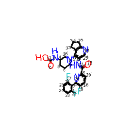 O=C(O)NC1CCCN(c2c(NC(=O)c3ccc(F)c(-c4c(F)cccc4F)n3)cnc3c2CCC3)C1